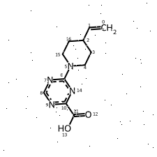 C=CC1CCN(c2ncnc(C(=O)O)n2)CC1